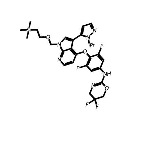 CC(C)n1nccc1-c1cn(COCC[Si](C)(C)C)c2nccc(Oc3c(F)cc(NC4=NCC(F)(F)CO4)cc3F)c12